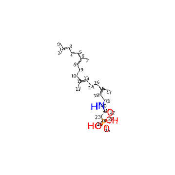 CC(C)=CCCC(C)=CCCC(C)=CCCC(C)=CCNC(=O)CP(=O)(O)O